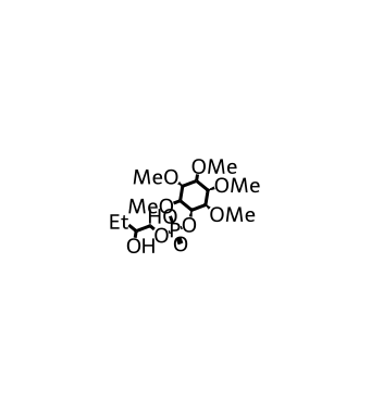 CCC(O)COP(=O)(O)O[C@H]1C(OC)[C@@H](OC)C(OC)[C@@H](OC)[C@H]1OC